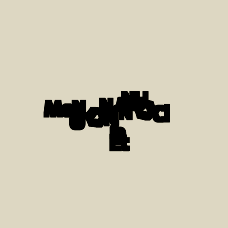 CCOCCn1c(-c2c[nH]c(-c3ccc(Cl)cc3)n2)nc2cc(C(=O)NC)ccc21